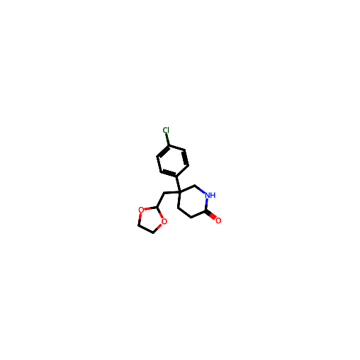 O=C1CCC(CC2OCCO2)(c2ccc(Cl)cc2)CN1